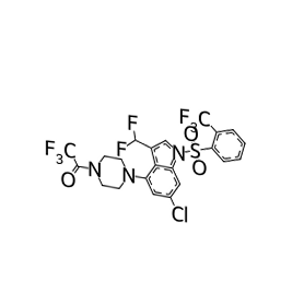 O=C(N1CCN(c2cc(Cl)cc3c2c(C(F)F)cn3S(=O)(=O)c2ccccc2C(F)(F)F)CC1)C(F)(F)F